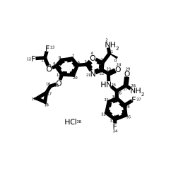 C[C@H](N)c1oc(-c2ccc(OC(F)F)c(OCC3CC3)c2)nc1C(=O)NC(C(N)=O)c1ccc(F)cc1F.Cl